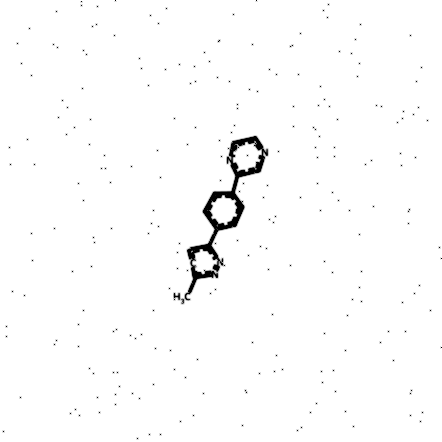 Cc1ccc(-c2ccc(-c3cnccn3)cc2)nn1